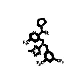 CCC(c1ncc(C(F)(F)F)cc1CN(Cc1cc(C(F)(F)F)cc(C(F)(F)F)c1)c1nnn(C)n1)N1CCCC1